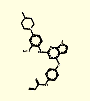 C=CC(=O)Nc1ccc(Oc2nc(Nc3ccc(N4CCN(C)CC4)cc3OC)nc3[nH]ccc23)cc1